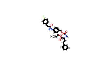 CN(C(=O)OCc1ccc(NC(=O)Cc2ccc(F)cc2)cc1)C(CCc1ccccc1)C(=O)OCCC#N